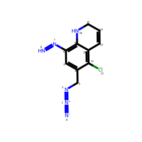 [N-]=[N+]=NCc1cc(N=N)c2c(c1Cl)C=CCN2